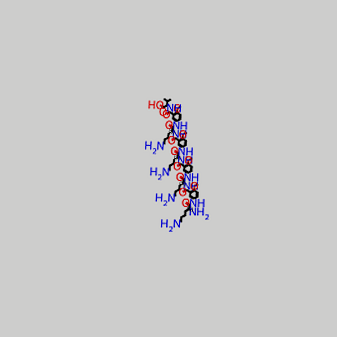 COc1ccc(NC(=O)[C@H](CCCCN)NC(=O)c2cc(NC(=O)[C@H](CCCCN)NC(=O)c3cc(NC(=O)[C@H](CCCCN)NC(=O)c4cc(NC(=O)[C@@H](N)CCCCN)ccc4OC)ccc3OC)ccc2OC)cc1C(=O)NC(C(=O)O)C(C)C